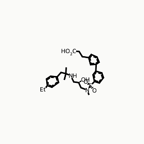 CCc1ccc(CC(C)(C)NC[C@@H](O)CN(C)S(=O)(=O)c2cccc(-c3cccc(CCC(=O)O)c3)c2)cc1